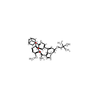 COc1ccc(CN2C3CC2CN(c2ccc(-c4cc(OCC(C)(C)O)cn5ncc(C(N)=O)c45)cn2)C3)cn1